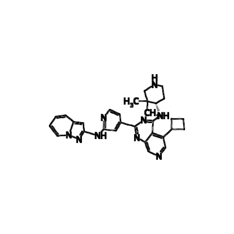 CC1(C)CNCC[C@@H]1Nc1nc(-c2ccnc(Nc3cc4ccccn4n3)c2)nc2cncc(C3CCC3)c12